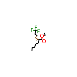 CCCCCC(SCCC(F)(F)F)C(=O)OCC